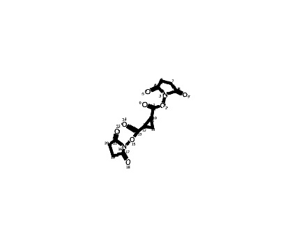 O=C(ON1C(=O)CCC1=O)C1CC1C(=O)ON1C(=O)CCC1=O